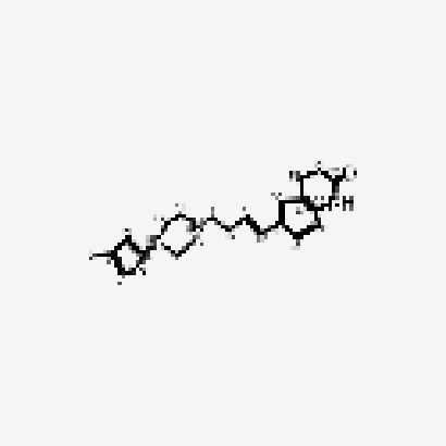 Cc1csc(N2CCN(CCC=Cc3ccc4c(c3)CCC(=O)N4)CC2)c1